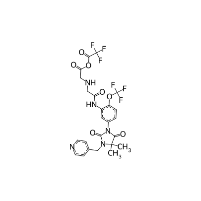 CC1(C)C(=O)N(c2ccc(OC(F)(F)F)c(NC(=O)CNCC(=O)OC(=O)C(F)(F)F)c2)C(=O)N1Cc1ccncc1